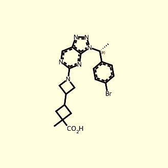 C[C@H](c1ccc(Br)cc1)n1nnc2cnc(N3CC(C4CC(C)(C(=O)O)C4)C3)nc21